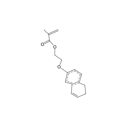 C=C(C)C(=O)OCCOc1ccc2c(c1)C=CCC2